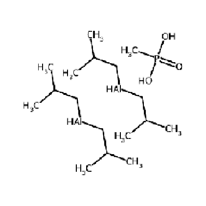 CC(C)[CH2][AlH][CH2]C(C)C.CC(C)[CH2][AlH][CH2]C(C)C.CP(=O)(O)O